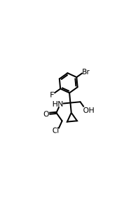 O=C(CCl)NC(CO)(c1cc(Br)ccc1F)C1CC1